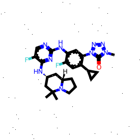 Cn1nnn(-c2cc(Nc3ncc(F)c(N[C@@H]4C[C@@H]5CCCN5C(C)(C)C4)n3)c(F)cc2C2CC2)c1=O